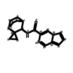 O=C(NC1C2CCN(CC2)C12CC2)c1cn2cccc2cn1